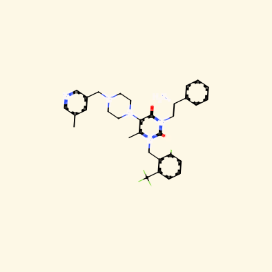 Cc1cncc(CN2CCN(c3c(C)n(Cc4c(F)cccc4C(F)(F)F)c(=O)n(C[C@H](N)c4ccccc4)c3=O)CC2)c1